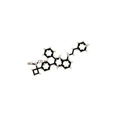 CC(C)(C)N(C(=O)O)C1(c2ccc(-c3nc4cccc(OCCc5ccncc5)c4nc3-c3ccccc3)cc2)CCC1